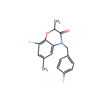 Cc1cc(F)c2c(c1)N(Cc1ccc(F)cc1)C(=O)C(C)O2